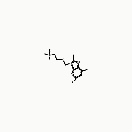 Cc1cc(Cl)nc2c1nc(C)n2COCC[Si](C)(C)C